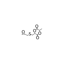 CC1OC(=O)C(CSCC2CO2)OC1=O